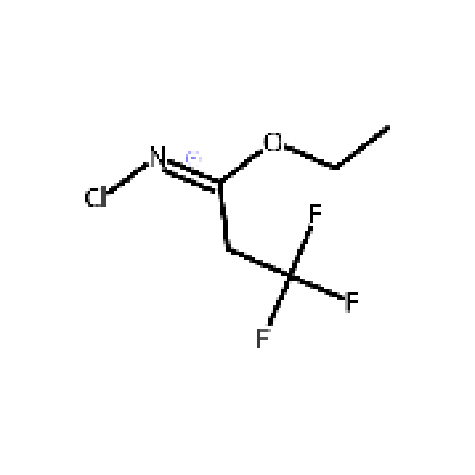 CCO/C(CC(F)(F)F)=N/Cl